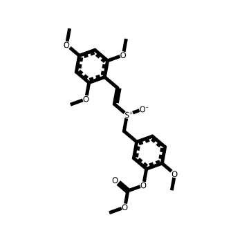 COC(=O)Oc1cc(C[S+]([O-])/C=C/c2c(OC)cc(OC)cc2OC)ccc1OC